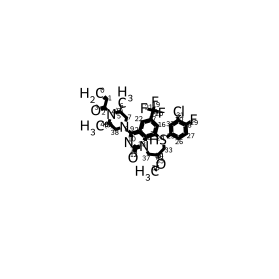 C=CC(=O)N1[C@H](C)CN(c2nc(=O)n3c4c(cc(C(F)(F)F)cc24)[SH](c2ccc(F)c(Cl)c2)C[C@@H](OC)C3)C[C@@H]1C